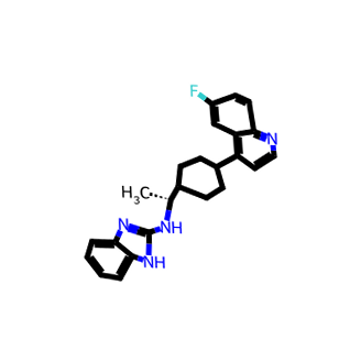 C[C@@H](Nc1nc2ccccc2[nH]1)C1CCC(c2ccnc3ccc(F)cc23)CC1